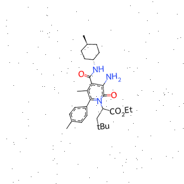 CCOC(=O)C(CC(C)(C)C)n1c(-c2ccc(C)cc2)c(C)c(C(=O)N[C@H]2CC[C@H](C)CC2)c(N)c1=O